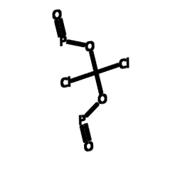 O=POC(Cl)(Cl)OP=O